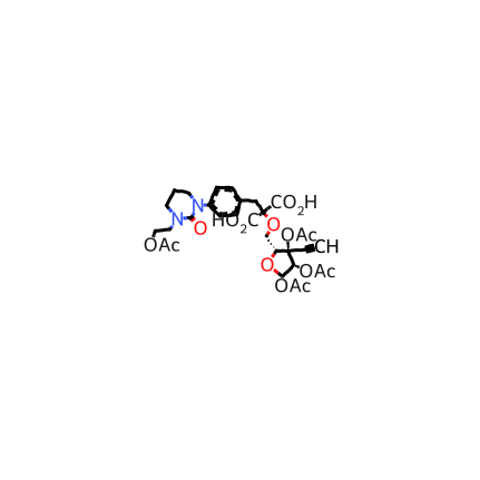 C#C[C@@]1(OC(C)=O)[C@@H](COC(Cc2ccc(N3CCCN(CCOC(C)=O)C3=O)cc2)(C(=O)O)C(=O)O)OC(OC(C)=O)[C@@H]1OC(C)=O